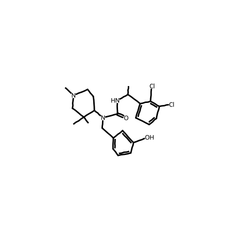 CC(NC(=O)N(Cc1cccc(O)c1)C1CCN(C)CC1(C)C)c1cccc(Cl)c1Cl